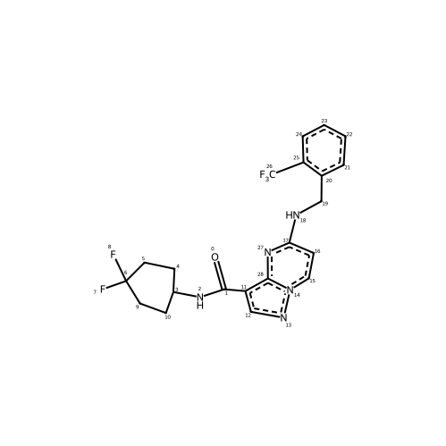 O=C(NC1CCC(F)(F)CC1)c1cnn2ccc(NCc3ccccc3C(F)(F)F)nc12